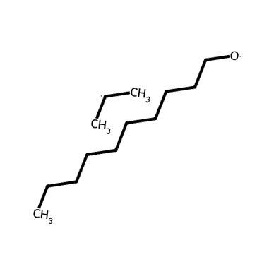 CCCCCCCCCC[O].C[CH]C